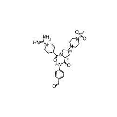 CS(=O)(=O)N1CCN([C@H]2C[C@@H](C(=O)Nc3ccc(C=O)cc3)N(C(=O)C3CCN(C(=N)N)CC3)C2)CC1